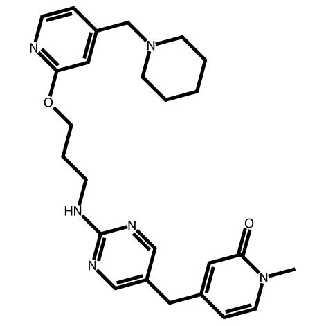 Cn1ccc(Cc2cnc(NCCCOc3cc(CN4CCCCC4)ccn3)nc2)cc1=O